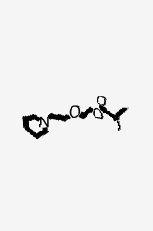 CC(I)C(=O)OCCOCCN1CCCCC1